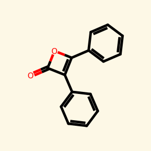 O=C1OC(c2ccccc2)=C1c1ccccc1